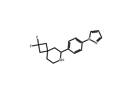 FC1(F)CC2(CCNC(c3ccc(-n4cccn4)cc3)C2)C1